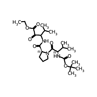 CCOC(=O)C(=O)C(NC(=O)[C@@H]1CCCN1C(=O)[C@@H](NC(=O)OC(C)(C)C)C(C)C)C(C)C